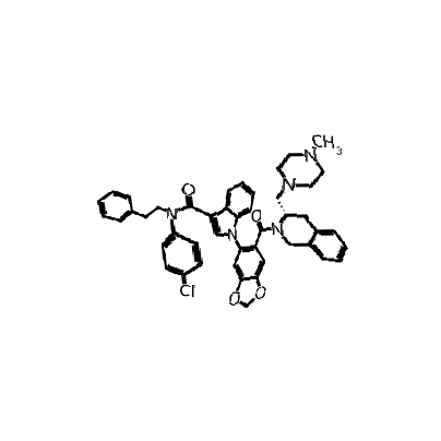 CN1CCN(C[C@@H]2Cc3ccccc3CN2C(=O)c2cc3c(cc2-n2cc(C(=O)N(CCc4ccccc4)c4ccc(Cl)cc4)c4ccccc42)OCO3)CC1